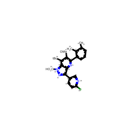 COc1c(-c2cccc(C)c2C)nc2c(-c3ccc(F)nc3)nn(C(=O)O)c2c1C(C)(C)C